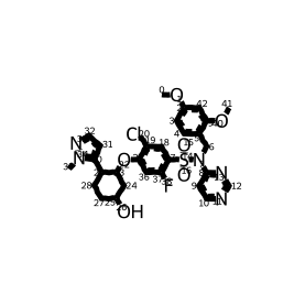 COc1ccc(CN(c2ccncn2)S(=O)(=O)c2cc(Cl)c(OC3CC(O)CCC3c3ccnn3C)cc2F)c(OC)c1